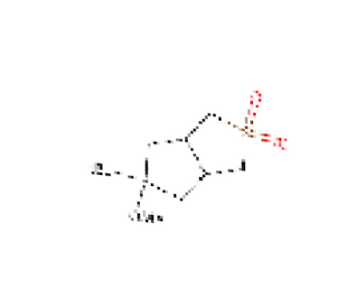 COC1(C(C)(C)C)CC2CS(=O)(=O)CC2C1